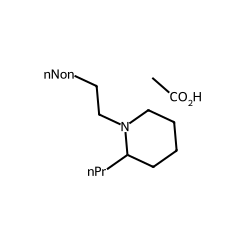 CC(=O)O.CCCCCCCCCCCN1CCCCC1CCC